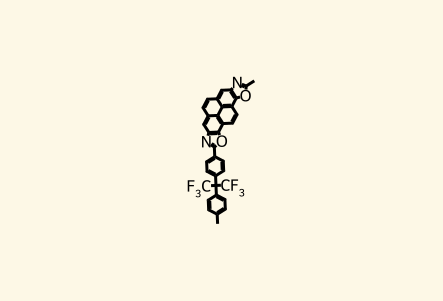 Cc1ccc(C(c2ccc(-c3nc4cc5ccc6cc7nc(C)oc7c7ccc(c4o3)c5c67)cc2)(C(F)(F)F)C(F)(F)F)cc1